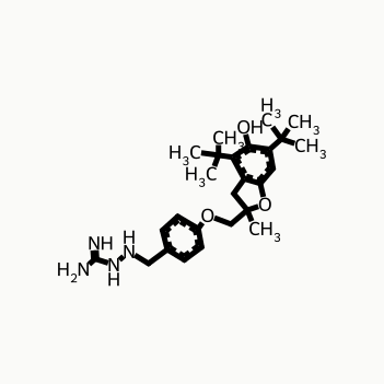 CC1(COc2ccc(CNNC(=N)N)cc2)Cc2c(cc(C(C)(C)C)c(O)c2C(C)(C)C)O1